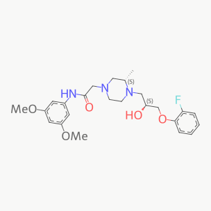 COc1cc(NC(=O)CN2CCN(C[C@H](O)COc3ccccc3F)[C@@H](C)C2)cc(OC)c1